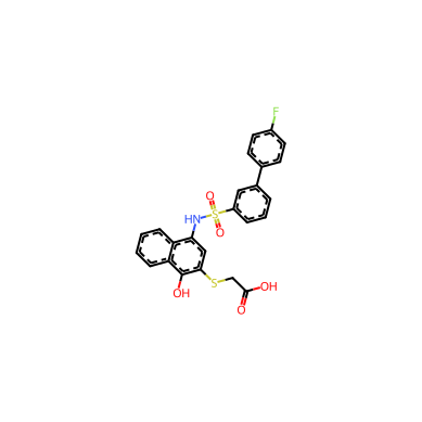 O=C(O)CSc1cc(NS(=O)(=O)c2cccc(-c3ccc(F)cc3)c2)c2ccccc2c1O